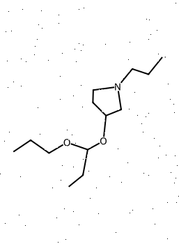 [CH2]CCN1CCC(OC(CC)OCCC)C1